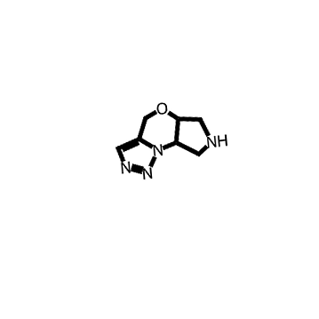 c1nnn2c1COC1CNCC12